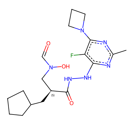 Cc1nc(NNC(=O)[C@@H](CC2CCCC2)CN(O)C=O)c(F)c(N2CCC2)n1